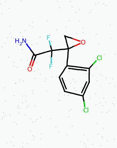 NC(=O)C(F)(F)C1(c2ccc(Cl)cc2Cl)CO1